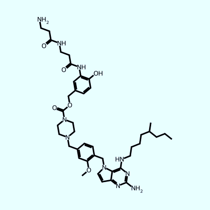 CCCC(C)CCCCNc1nc(N)nc2ccn(Cc3ccc(CN4CCN(C(=O)OCc5ccc(O)c(NC(=O)CCNC(=O)CCN)c5)CC4)cc3OC)c12